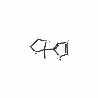 CC1(c2cnc[nH]2)OCCO1